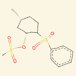 C[C@@H]1CCC(S(=O)(=O)c2ccccc2)[C@H](OS(C)(=O)=O)C1